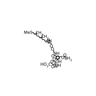 BC(=O)OCc1ccc(O[C@@H]2O[C@H](C(=O)O)[C@@H](O)[C@H](O)[C@H]2O)c(C(=O)NCCOCOCc2cn(CCC/C(C)=C/CC/C(C)=C/CSC)nn2)c1